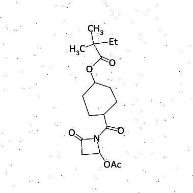 CCC(C)(C)C(=O)OC1CCC(C(=O)N2C(=O)CC2OC(C)=O)CC1